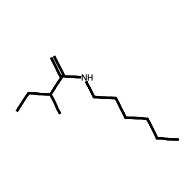 C=C(NCCCCCC)C(C)CC